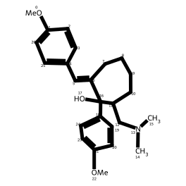 COc1ccc(C=C2CCCCC(CN(C)C)C2(O)c2ccc(OC)cc2)cc1